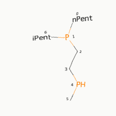 CCCCCP(CCPC)C(C)CCC